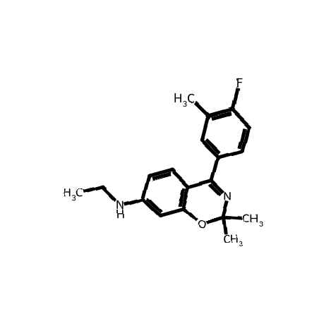 CCNc1ccc2c(c1)OC(C)(C)N=C2c1ccc(F)c(C)c1